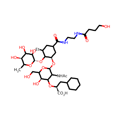 CCC1CC(C(=O)NCCNC(=O)CCCO)C[C@@H](O[C@@H]2OC(CO)[C@H](O)C(O[C@@H](CC3CCCCC3)C(=O)O)C2NC(C)=O)C1O[C@@H]1OC(C)[C@@H](O)C(O)C1O